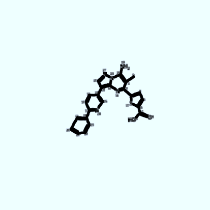 Cc1c(-c2ccc(C(=O)O)s2)nc2c(-c3ccc(-c4ccccc4)nc3)cnn2c1N